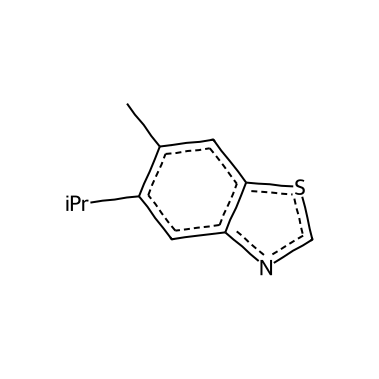 Cc1cc2scnc2cc1C(C)C